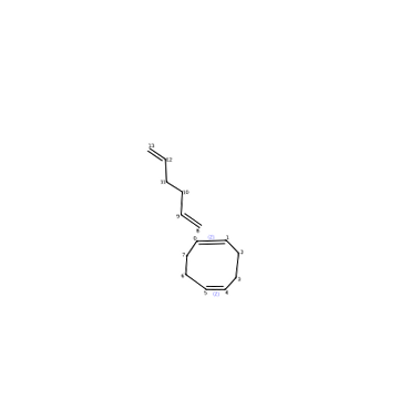 C1=C\CC/C=C\CC/1.C=CCCC=C